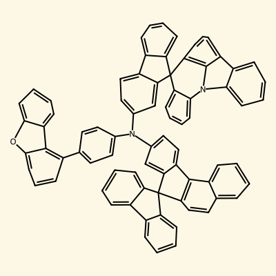 c1ccc2c(c1)-c1ccccc1C21c2cc(N(c3ccc(-c4cccc5oc6ccccc6c45)cc3)c3ccc4c(c3)C3(c5ccccc5-4)c4ccccc4-n4c5ccccc5c5cccc3c54)ccc2-c2c1ccc1ccccc21